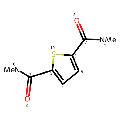 CNC(=O)c1ccc(C(=O)NC)s1